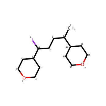 CC(CCC(I)C1CCOCC1)C1CCOCC1